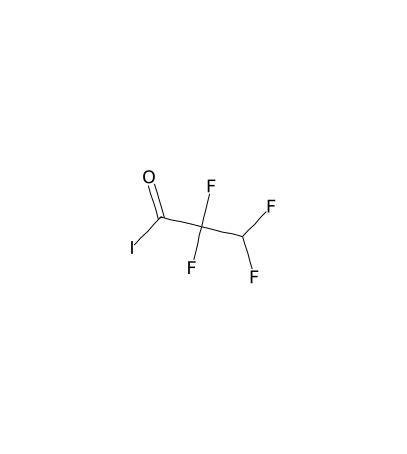 O=C(I)C(F)(F)C(F)F